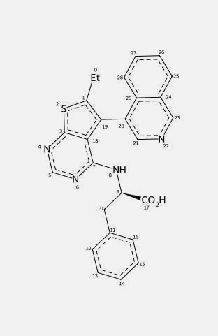 CCc1sc2ncnc(N[C@H](Cc3ccccc3)C(=O)O)c2c1-c1cncc2ccccc12